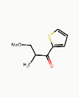 COCC(C)C(=O)c1cccs1